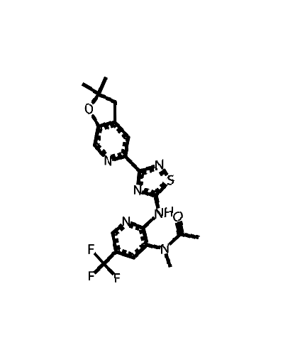 CC(=O)N(C)c1cc(C(F)(F)F)cnc1Nc1nc(-c2cc3c(cn2)OC(C)(C)C3)ns1